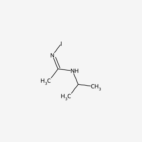 C/C(=N/I)NC(C)C